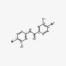 O=C(Nc1ccc(Br)c(Cl)c1)c1ccc(Br)c(F)c1